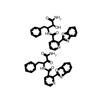 NC(=O)C(=O)C(Cc1ccccc1)NC(=O)c1cccnc1-c1nc2ccccc2o1.NC(=O)C(O)C(Cc1ccccc1)NC(=O)c1cccnc1-c1nc2ccccc2o1